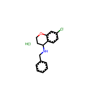 Cl.Clc1ccc2c(c1)OCCC2NCc1ccccc1